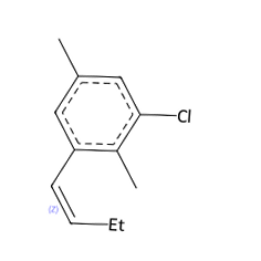 CC/C=C\c1cc(C)cc(Cl)c1C